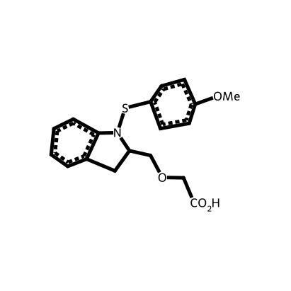 COc1ccc(SN2c3ccccc3CC2COCC(=O)O)cc1